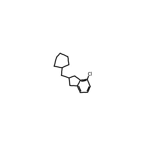 Clc1cccc2c1CC(CC1CCCCC1)C2